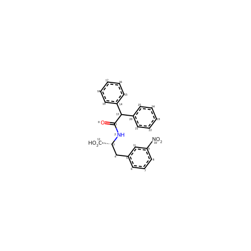 O=C(N[C@H](Cc1cccc([N+](=O)[O-])c1)C(=O)O)C(c1ccccc1)c1ccccc1